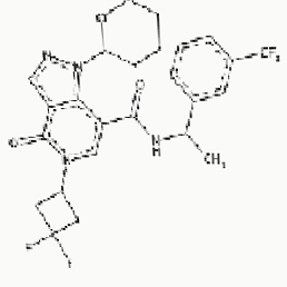 CC(NC(=O)c1cn(C2CC(F)(F)C2)c(=O)c2cnn(C3CCCCO3)c12)c1cccc(C(F)(F)F)c1